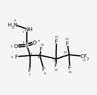 NNS(=O)(=O)C(F)(F)C(F)(F)C(F)(F)C(F)(F)C(F)(F)F